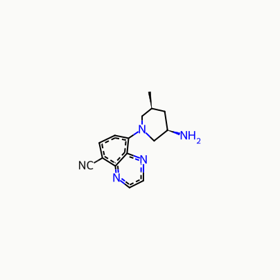 C[C@H]1C[C@@H](N)CN(c2ccc(C#N)c3nccnc23)C1